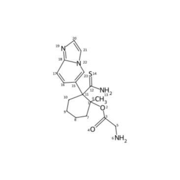 CC1(OC(=O)CN)CCCCC1(C(N)=S)c1ccc2nccn2c1